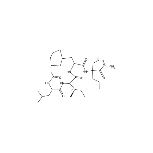 C=CCC(CC=C)(NC(=O)C(CC1CCCCC1)NC(=O)C(NC(=O)C(CC(C)C)NC(C)=O)[C@H](C)CC)C(=O)C(N)=O